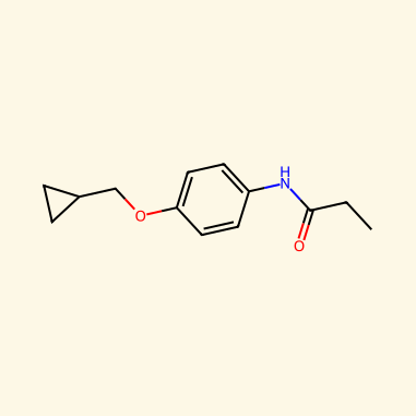 CCC(=O)Nc1ccc(OCC2CC2)cc1